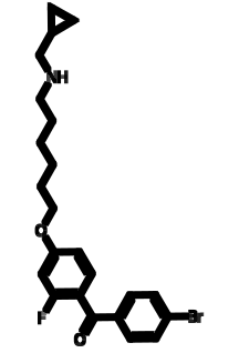 O=C(c1ccc(Br)cc1)c1ccc(OCCCCCCNCC2CC2)cc1F